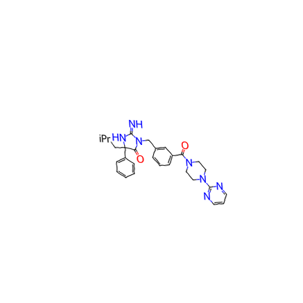 CC(C)CC1(c2ccccc2)NC(=N)N(Cc2cccc(C(=O)N3CCN(c4ncccn4)CC3)c2)C1=O